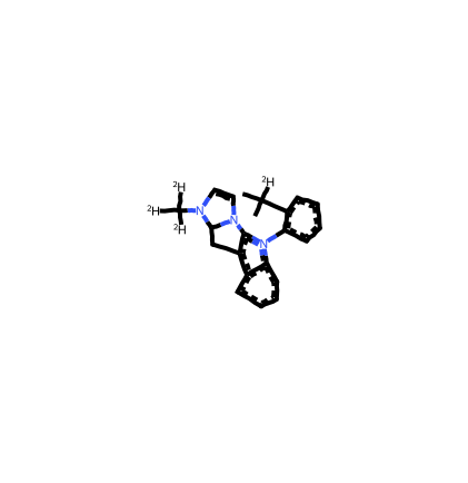 [2H]C(C)(C)c1ccccc1-n1c2c(c3ccccc31)CC1N2C=CN1C([2H])([2H])[2H]